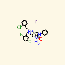 CC[N+](CCCN(C(N)=O)c1ccccc1)(CCc1ccccc1Cl)Cc1cc(F)ccc1F.[I-]